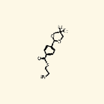 CCC1(CC)COC(c2ccc(C(=O)SCCC(C)C)cc2)OC1